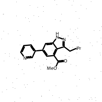 COC(=O)c1cc(-c2cccnc2)cc2[nH]nc(CC(C)C)c12